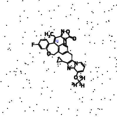 [2H]C([2H])([2H])Oc1cccn2c(Cc3ccc4c(c3)COc3cc(F)ccc3/C4=C(\C)c3noc(=O)[nH]3)c(C3CC3)nc12